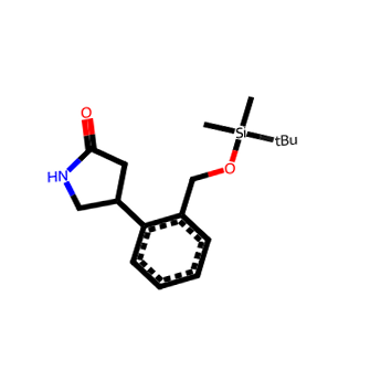 CC(C)(C)[Si](C)(C)OCc1ccccc1C1CNC(=O)C1